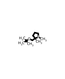 CN1CCC[C@@]1(C)COC(C)(C)C